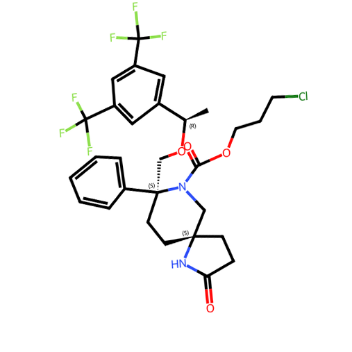 C[C@@H](OC[C@@]1(c2ccccc2)CC[C@]2(CCC(=O)N2)CN1C(=O)OCCCCl)c1cc(C(F)(F)F)cc(C(F)(F)F)c1